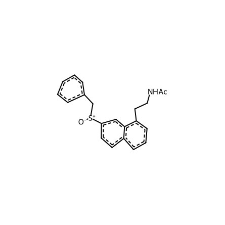 CC(=O)NCCc1cccc2ccc([S+]([O-])Cc3ccccc3)cc12